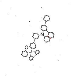 c1ccc(-c2ccc(N(c3ccccc3)c3cccc(-c4ccc5c(c4)Oc4ccccc4C54c5ccccc5-c5ccccc54)c3)c(-c3ccccc3)c2)cc1